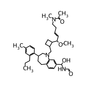 CCCc1cc(C)ccc1C1CCc2ccc(C(O)NC=O)cc2N(CC2CCC2C(/C=C/CCN(C)C(C)=O)OC)C1